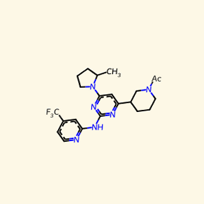 CC(=O)N1CCCC(c2cc(N3CCCC3C)nc(Nc3cc(C(F)(F)F)ccn3)n2)C1